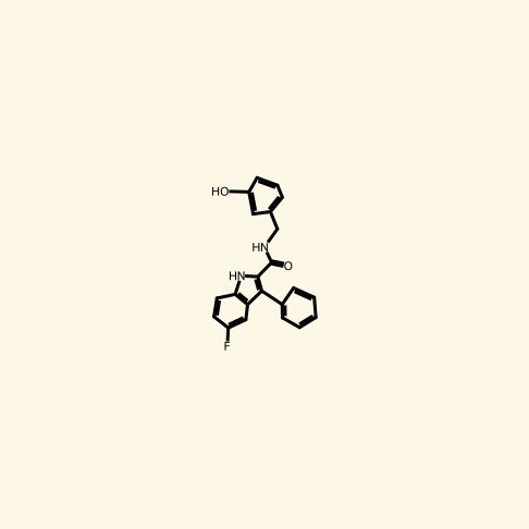 O=C(NCc1cccc(O)c1)c1[nH]c2ccc(F)cc2c1-c1ccccc1